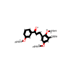 CCCCCCOc1cccc(C(=O)C=Cc2cc(OCCCCCC)cc(OC)c2OCCCCCC)c1